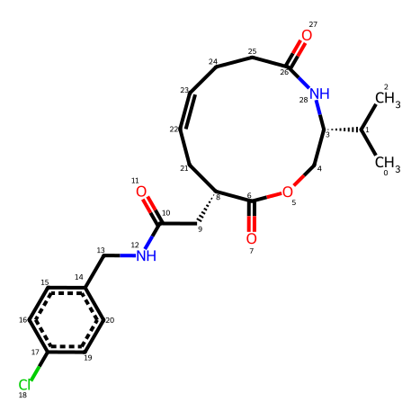 CC(C)[C@@H]1COC(=O)[C@H](CC(=O)NCc2ccc(Cl)cc2)CC=CCCC(=O)N1